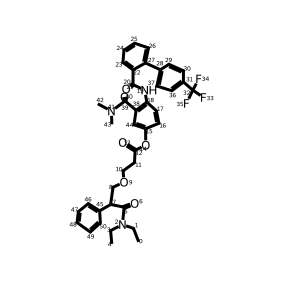 CCN(CC)C(=O)C(COCCC(=O)Oc1ccc(NC(=O)c2ccccc2-c2ccc(C(F)(F)F)cc2)c(C(=O)N(C)C)c1)c1ccccc1